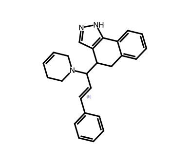 C1=CCN(C(/C=C/c2ccccc2)C2Cc3ccccc3-c3[nH]ncc32)CC1